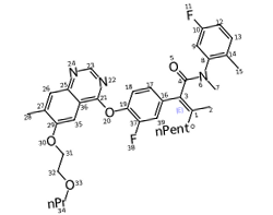 CCCCC/C(C)=C(/C(=O)N(C)c1cc(F)ccc1C)c1ccc(Oc2ncnc3cc(C)c(OCCOCCC)cc23)c(F)c1